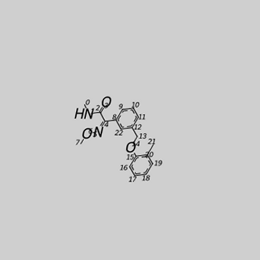 CNC(=O)C(=NOC)c1cccc(COc2ccccc2C)c1